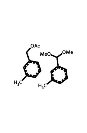 CC(=O)OCc1cccc(C)c1.COC(OC)c1cccc(C)c1